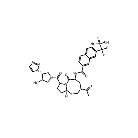 CC(=O)N1CC[C@H]2CC[C@@H](C(=O)N3C[C@@H](O)[C@H](n4ccnn4)C3)N2C(=O)[C@@H](NC(=O)c2ccc3ccc(C(F)(F)P(=O)(O)O)cc3c2)C1